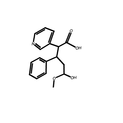 COC(O)CC(c1ccccc1)C(C(=O)O)c1cccnc1